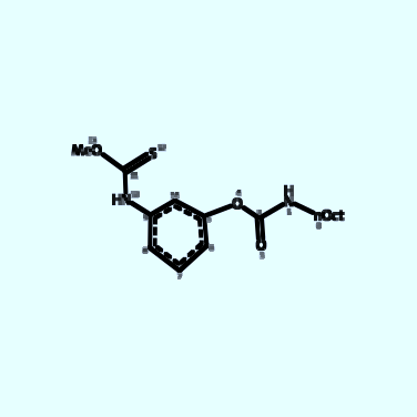 CCCCCCCCNC(=O)Oc1cccc(NC(=S)OC)c1